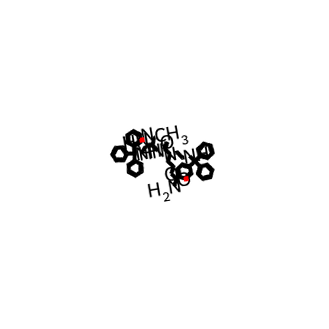 Cc1n[nH]c(NC(c2ccccc2)(c2ccccc2)c2ccccc2)c1NC(=O)N(CCNC(c1ccccc1)(c1ccccc1)c1ccccc1)CCOC(N)=O